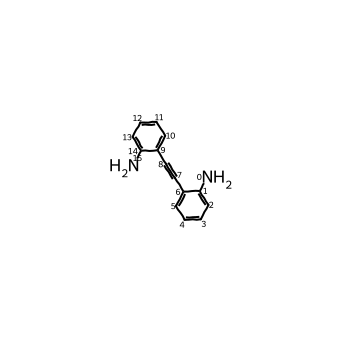 Nc1ccccc1C#Cc1ccccc1N